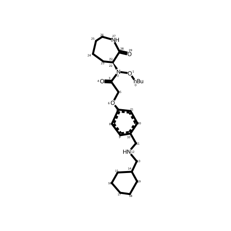 CCCCON(C(=O)COc1ccc(CNCC2CCCCC2)cc1)[C@H]1CCCCNC1=O